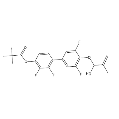 C=C(C)C(O)Oc1c(F)cc(-c2ccc(OC(=O)C(C)(C)C)c(F)c2F)cc1F